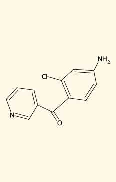 Nc1ccc(C(=O)c2cccnc2)c(Cl)c1